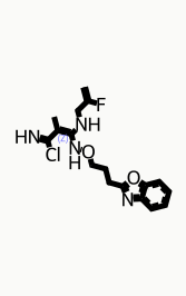 C=C(F)CN/C(NOCCCc1nc2ccccc2o1)=C(\C)C(=N)Cl